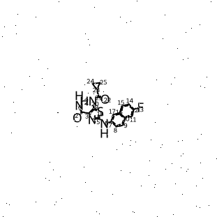 NC(=O)c1nc(Nc2ccc3cc(F)ccc3c2)sc1NC(=O)C1CC1